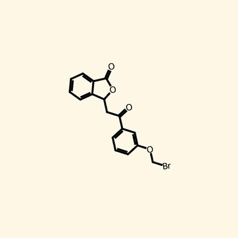 O=C(CC1OC(=O)c2ccccc21)c1cccc(OCBr)c1